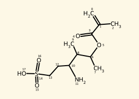 C=C(C)C(=O)OC(C)C(C)C(N)CCS(=O)(=O)O